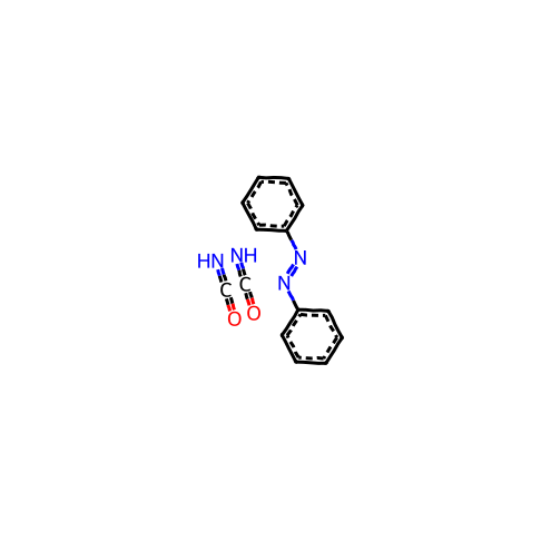 N=C=O.N=C=O.c1ccc(N=Nc2ccccc2)cc1